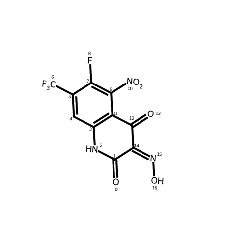 O=C1Nc2cc(C(F)(F)F)c(F)c([N+](=O)[O-])c2C(=O)C1=NO